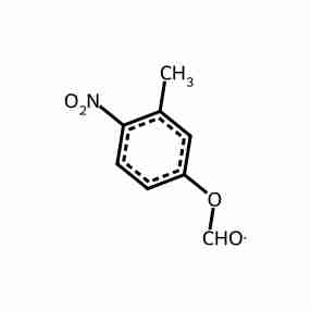 Cc1cc(O[C]=O)ccc1[N+](=O)[O-]